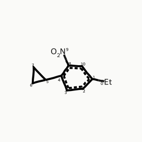 CCc1ccc(C2CC2)c([N+](=O)[O-])c1